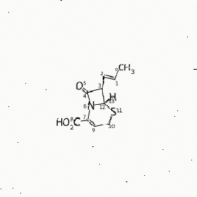 CC=C[C@@H]1C(=O)N2C(C(=O)O)=CCS[C@@H]12